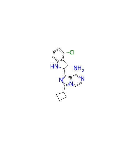 Nc1nccn2c(C3CCC3)nc(C3Cc4c(Cl)cccc4N3)c12